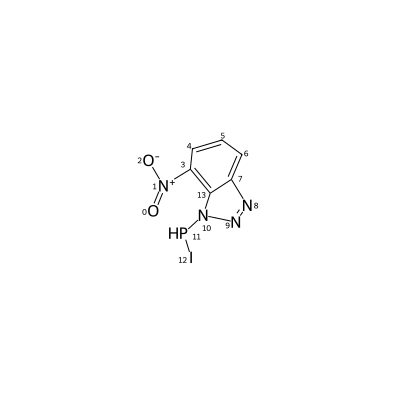 O=[N+]([O-])c1cccc2nnn(PI)c12